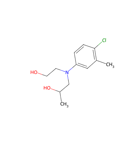 Cc1cc(N(CCO)CC(C)O)ccc1Cl